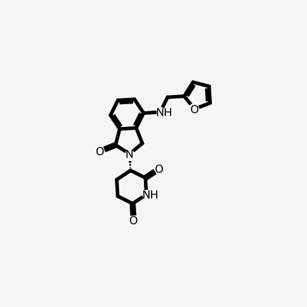 O=C1CC[C@H](N2Cc3c(NCc4ccco4)cccc3C2=O)C(=O)N1